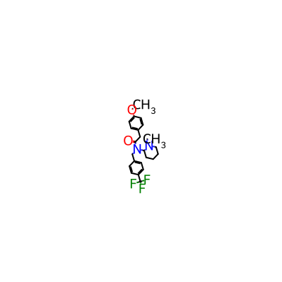 COc1ccc(CC(=O)N(Cc2ccc(C(F)(F)F)cc2)C2CCCCN2C)cc1